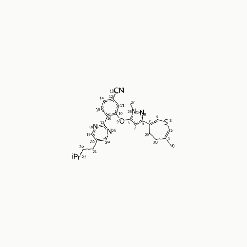 CC1=CSC=C(c2cc(Oc3cc(C#N)ccc3-c3ncc(CCC(C)C)cn3)n(C)n2)CC1